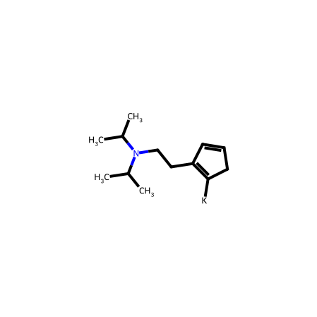 CC(C)N(CCC1=[C]([K])CC=C1)C(C)C